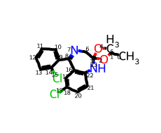 CCOC1(OC)CN=C(c2ccccc2Cl)c2cc(Cl)ccc2N1